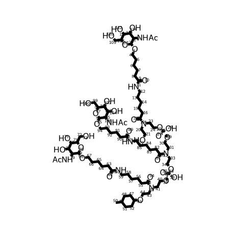 CC(=O)NC1C(OCCCCCC(=O)NCCCCCC(=O)N(CCO)CCOP(=O)(O)OCCN(CCOP(=O)(O)OCCN(CCOC2CCC(C)CC2)C(=O)CCCCCNC(=O)CCCCCOC2OC(CO)C(O)C(O)C2NC(C)=O)C(=O)CCCCCNC(=O)CCCCCOC2OC(CO)C(O)C(O)C2NC(C)=O)OC(CO)C(O)C1O